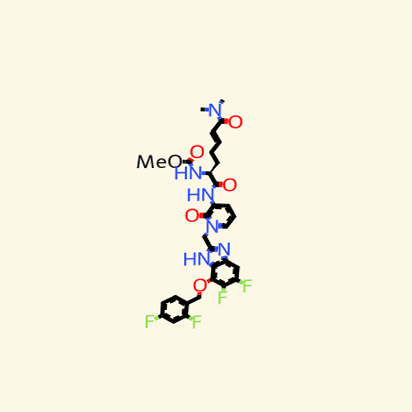 COC(=O)N[C@@H](CC/C=C/C(=O)N(C)C)C(=O)Nc1cccn(Cc2nc3cc(F)c(F)c(OCc4ccc(F)cc4F)c3[nH]2)c1=O